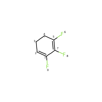 FC1=CC[CH]C(F)=C1F